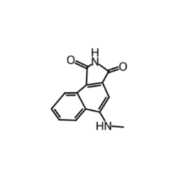 CNc1cc2c(c3ccccc13)C(=O)NC2=O